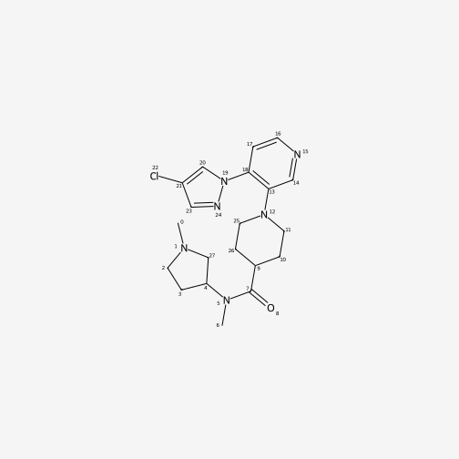 CN1CCC(N(C)C(=O)C2CCN(c3cnccc3-n3cc(Cl)cn3)CC2)C1